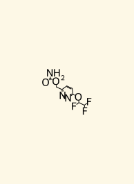 NC(=O)OCc1ccc(OC(F)C(F)F)nn1